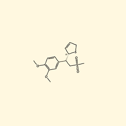 COc1ccc(C(CS(C)(=O)=O)[C@@H]2C=CCS2)cc1OC